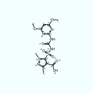 COc1cc(OC)nc(NC(=O)NS(=O)(=O)c2c(C(=O)O)c(C)nn2C)n1